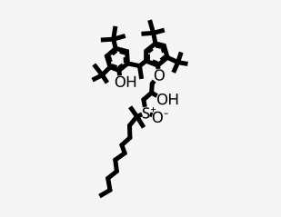 CCCCCCCCCC(C)(C)[S+]([O-])CC(O)COc1c(C(C)c2cc(C(C)(C)C)cc(C(C)(C)C)c2O)cc(C(C)(C)C)cc1C(C)(C)C